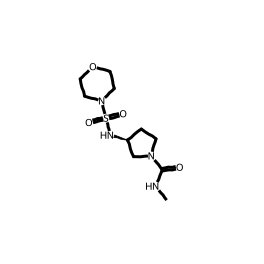 CNC(=O)N1CC[C@H](NS(=O)(=O)N2CCOCC2)C1